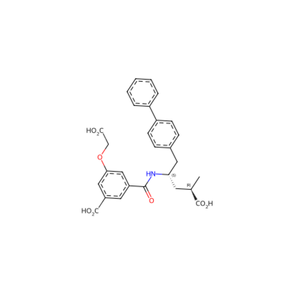 C[C@H](C[C@@H](Cc1ccc(-c2ccccc2)cc1)NC(=O)c1cc(OCC(=O)O)cc(C(=O)O)c1)C(=O)O